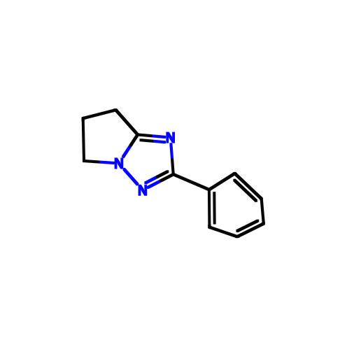 c1ccc(-c2nc3n(n2)CCC3)cc1